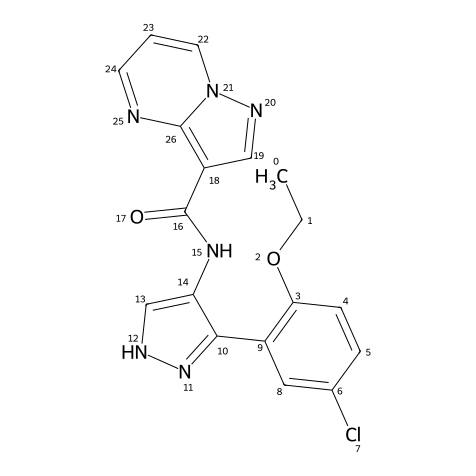 CCOc1ccc(Cl)cc1-c1n[nH]cc1NC(=O)c1cnn2cccnc12